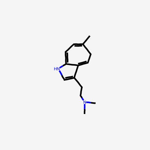 CC1=CC=c2[nH]cc(CCN(C)C)c2=CC1